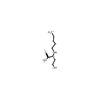 CCCCCN[C@@H](CCS)C(=O)O